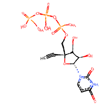 C#C[C@]1(COP(=O)(O)OP(=O)(O)OP(=O)(O)O)O[C@@H](n2ccc(=O)[nH]c2=O)[C@H](O)[C@@H]1O